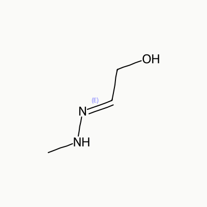 CN/N=C/CO